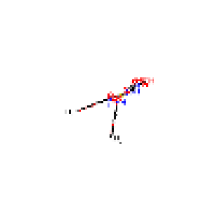 CCCCCCCCCCCCCCCCCCNC(=O)OCC(CSCCC(=O)Nc1ccc(C(=O)N[C@@H](CCC(=O)O)C(=O)O)cc1)OC(=O)NCCCCCCCCCCCCCCCCCC